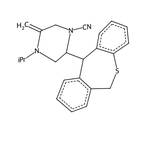 C=C1CN(C#N)C(C2c3ccccc3CSc3ccccc32)CN1C(C)C